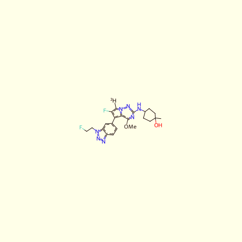 [2H]c1c(F)c(-c2ccc3nnn(CCF)c3c2)c2c(OC)nc(NC3CCC(C)(O)CC3)nn12